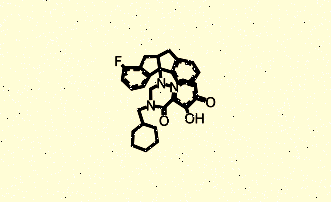 O=C1c2c(O)c(=O)ccn2N(C23c4ccccc4CC2Cc2c(F)cccc23)CN1CC1CCCCC1